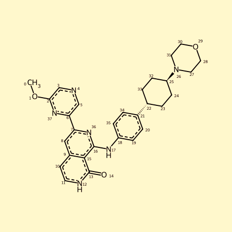 COc1cncc(-c2cc3cc[nH]c(=O)c3c(Nc3ccc([C@H]4CC[C@H](N5CCOCC5)CC4)cc3)n2)n1